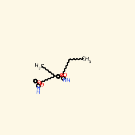 CCCCC/C=C/C/C=C\CCCCCCCCC(=O)OC1(c2ccc(/C(=C/C/C=C/CCCCC)CCCCCCCCC(=O)OC3(c4ccccc4)CCNCC3)cc2)CCNCC1